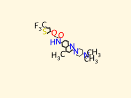 Cc1cc(N2CCC(N(C)C)CC2)nc2ccc(NC(=O)COc3csc(C(F)(F)F)c3)cc12